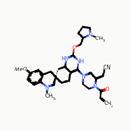 C=CC(=O)N1CCN(C2NC(OCC3CCCN3C)NC3C[C@@]4(CCC32)Cc2cc(OC)ccc2N(C)C4)CC1CC#N